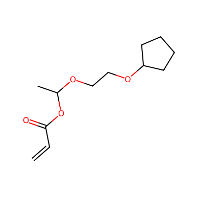 C=CC(=O)OC(C)OCCOC1CCCC1